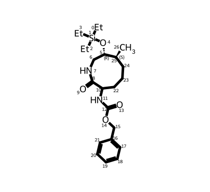 CC[Si](CC)(CC)O[C@H]1CNC(=O)C(NC(=O)OCc2ccccc2)CCC[C@@H]1C